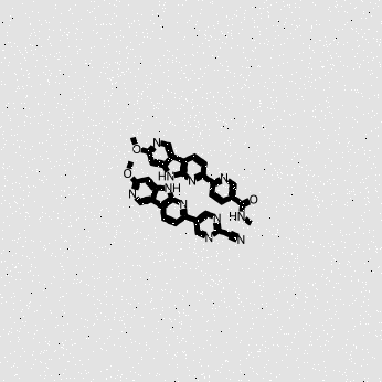 CNC(=O)c1ccc(-c2ccc3c(n2)[nH]c2cc(OC)ncc23)nc1.COc1cc2[nH]c3nc(-c4cnc(C#N)nc4)ccc3c2cn1